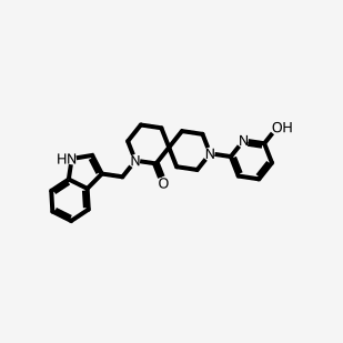 O=C1N(Cc2c[nH]c3ccccc23)CCCC12CCN(c1cccc(O)n1)CC2